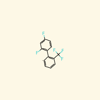 Fc1ccc(-c2[c]cccc2C(F)(F)F)c(F)c1